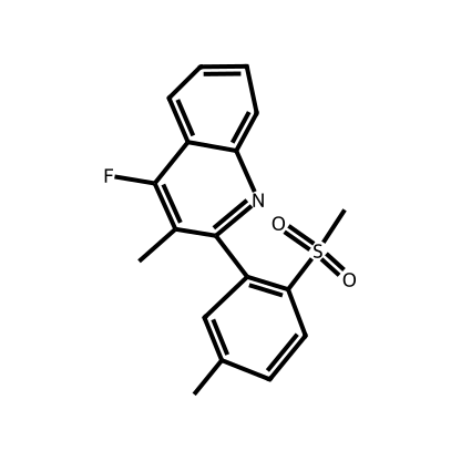 Cc1ccc(S(C)(=O)=O)c(-c2nc3ccccc3c(F)c2C)c1